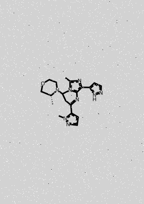 Cc1nc(-c2ccn[nH]2)c2n1C(N1CCOC[C@H]1C)CC(c1ccnn1C)=N2